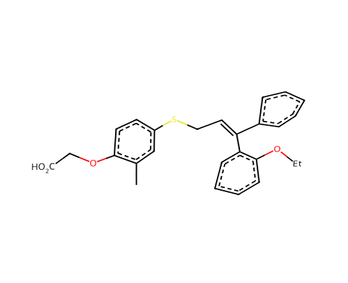 CCOc1ccccc1/C(=C\CSc1ccc(OCC(=O)O)c(C)c1)c1ccccc1